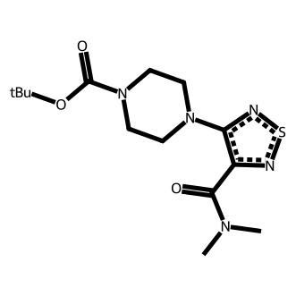 CN(C)C(=O)c1nsnc1N1CCN(C(=O)OC(C)(C)C)CC1